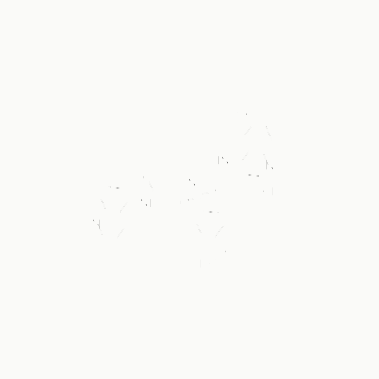 COc1ccc(S(=O)(=O)N(CCNc2cc(C)nc3ccc(Cl)cc23)CCC(=O)Nc2cccc3ncccc23)cc1